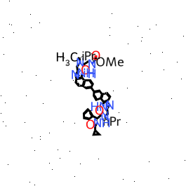 CCCN(Cc1nc2ccc3cc(-c4ccc5c(ccc6nc(CN(C(=O)CNC(=O)OC)[C@H](C)C(C)C)[nH]c65)c4)ccc3c2[nH]1)C(=O)[C@H](NC(=O)C1CC1)c1ccccc1